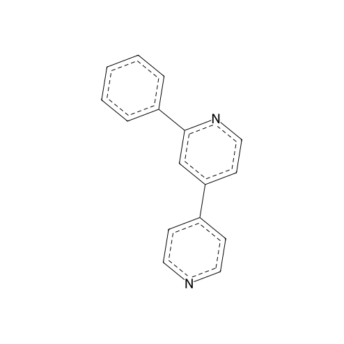 c1ccc(-c2cc(-c3ccncc3)ccn2)cc1